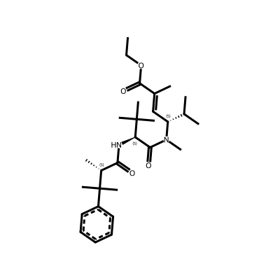 CCOC(=O)C(C)=C[C@H](C(C)C)N(C)C(=O)[C@@H](NC(=O)[C@@H](C)C(C)(C)c1ccccc1)C(C)(C)C